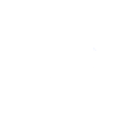 CNC(=O)Cc1cccc(Oc2ccccc2)c1